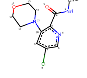 CONC(=O)c1ncc(Cl)cc1N1CCOCC1